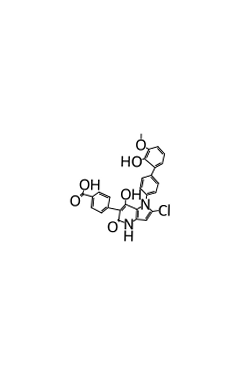 COc1cccc(-c2ccc(-n3c(Cl)cc4[nH]c(=O)c(-c5ccc(C(=O)O)cc5)c(O)c43)cc2)c1O